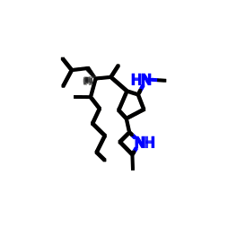 CCCCCC(C)[C@@H](CC(C)C)C(C)C1CC(C2CC(C)N2)CC1NC